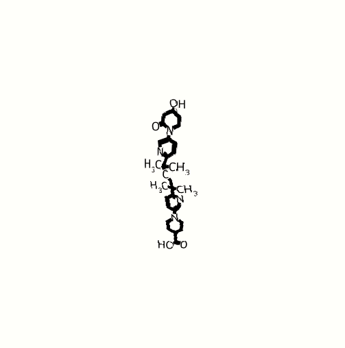 CC(C)(CCC(C)(C)c1ccc(N2CC[C@H](O)CC2=O)cn1)c1ccc(N2CCC(C(=O)O)CC2)cn1